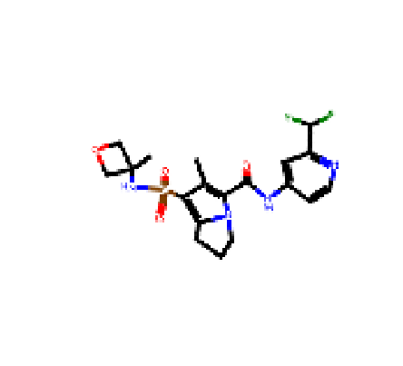 Cc1c(S(=O)(=O)NC2(C)COC2)c2n(c1C(=O)Nc1ccnc(C(F)F)c1)CCC2